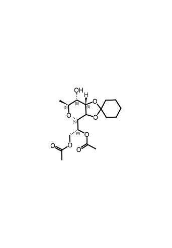 CC(=O)OC[C@@H](OC(C)=O)[C@@H]1O[C@@H](C)[C@H](O)[C@@H]2OC3(CCCCC3)OC21